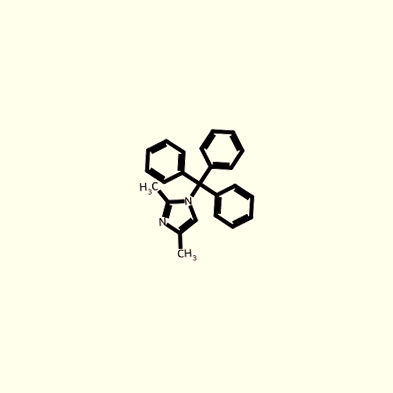 Cc1cn(C(c2ccccc2)(c2ccccc2)c2ccccc2)c(C)n1